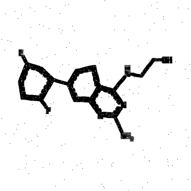 Nc1nc(NCCO)c2ccc(-c3cc(F)ccc3F)cc2n1